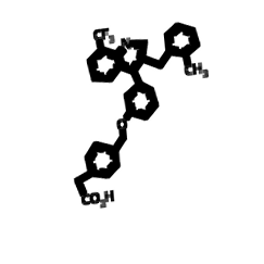 Cc1ccccc1Cc1cnc2c(C(F)(F)F)cccc2c1-c1cccc(OCc2ccc(CC(=O)O)cc2)c1